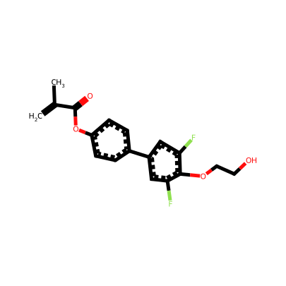 C=C(C)C(=O)Oc1ccc(-c2cc(F)c(OCCO)c(F)c2)cc1